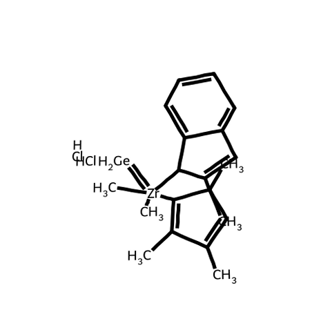 CC1=CC(C)[C]([Zr]([CH3])([CH3])(=[GeH2])[CH]2C(C)=Cc3ccccc32)=C1C.Cl.Cl